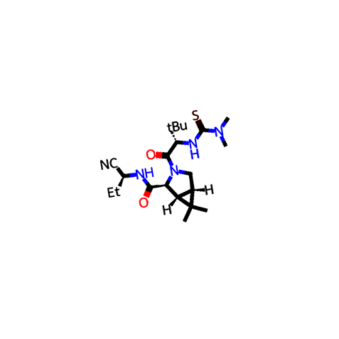 CC[C@@H](C#N)NC(=O)[C@@H]1[C@@H]2[C@H](CN1C(=O)[C@@H](NC(=S)N(C)C)C(C)(C)C)C2(C)C